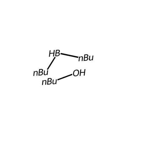 CCCCBCCCC.CCCCO